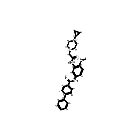 COc1ccc(NC(=O)c2ccc(-c3ccccc3)cc2)cc1NC(=O)CN1CCN(C2CC2)CC1